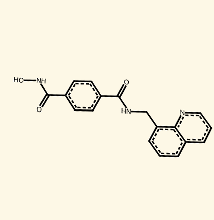 O=C(NO)c1ccc(C(=O)NCc2cccc3cccnc23)cc1